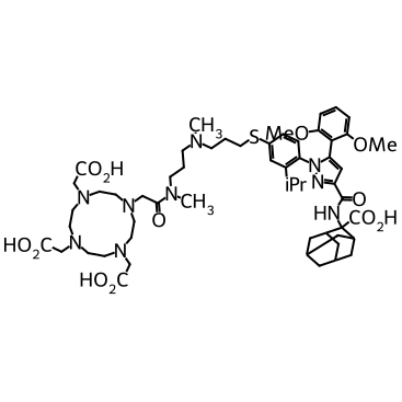 COc1cccc(OC)c1-c1cc(C(=O)NC2(C(=O)O)C3CC4CC(C3)CC2C4)nn1-c1ccc(SCCCN(C)CCCN(C)C(=O)CN2CCN(CC(=O)O)CCN(CC(=O)O)CCN(CC(=O)O)CC2)cc1C(C)C